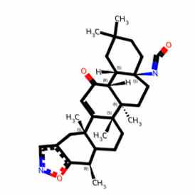 C[C@H]1c2oncc2C[C@]2(C)C3=CC(=O)[C@@H]4[C@@H]5CC(C)(C)CC[C@]5(N=C=O)CC[C@@]4(C)[C@]3(C)CCC12